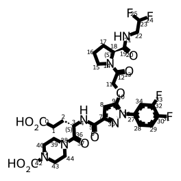 O=C(O)CC[C@H](NC(=O)c1cc(OCC(=O)N2CCC[C@H]2C(=O)NCC(F)F)n(-c2ccc(F)c(F)c2)n1)C(=O)N1CCN(C(=O)O)CC1